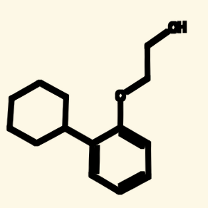 OCCOc1ccccc1C1CCCCC1